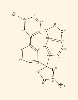 N#Cc1cccc(-c2cccc(C3(c4ccc5c(c4)CCO5)COC(N)=N3)c2)c1